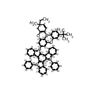 CCC1(C)C=CC2=C(C1)Oc1cc(-n3c4ccccc4c4c5c(c6ccccc6n5-c5ccccc5)c5c(c6ccccc6n5-c5ccccc5)c43)cc3c1B2c1ccc(C(C)(C)C)cc1O3